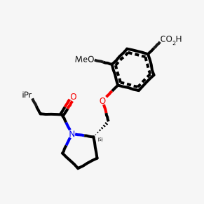 COc1cc(C(=O)O)ccc1OC[C@@H]1CCCN1C(=O)CC(C)C